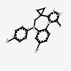 Cc1nnc2n1-c1ccc(Br)cc1N(c1ccc(Cl)cc1)CC21CC1